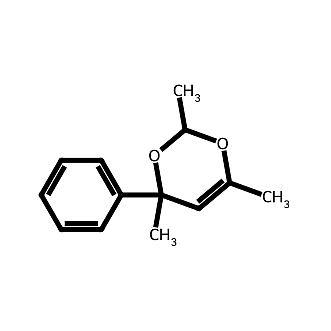 CC1=CC(C)(c2ccccc2)OC(C)O1